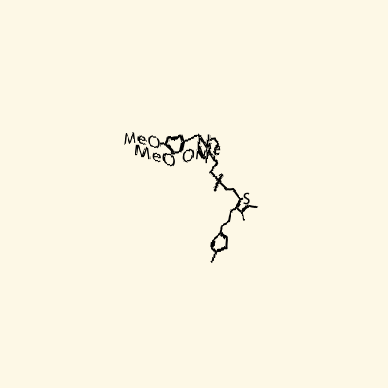 COc1ccc(CN2CCN(CCC(C)(C)CCc3sc(C)c(C)c3CCCc3ccc(C)cc3)CC2)c(OC)c1OC